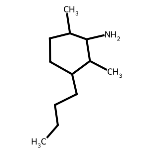 CCCCC1CCC(C)C(N)C1C